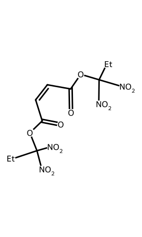 CCC(OC(=O)/C=C\C(=O)OC(CC)([N+](=O)[O-])[N+](=O)[O-])([N+](=O)[O-])[N+](=O)[O-]